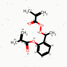 C=C(C)C(=O)OOC(C)c1ccccc1OC(=O)C(=C)C